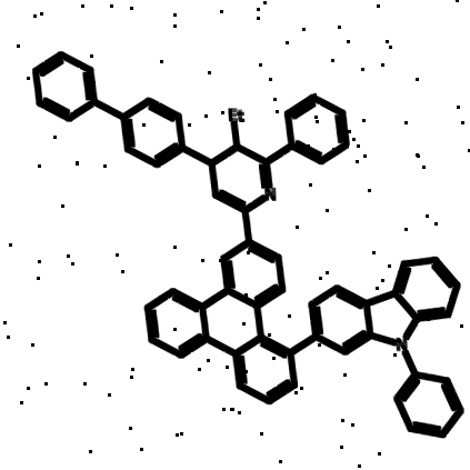 CCC1C(c2ccccc2)=NC(c2ccc3c(c2)c2ccccc2c2cccc(-c4ccc5c6ccccc6n(-c6ccccc6)c5c4)c23)=CC1c1ccc(-c2ccccc2)cc1